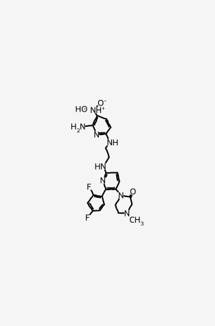 CN1CCN(c2ccc(NCCNc3ccc([NH+]([O-])O)c(N)n3)nc2-c2ccc(F)cc2F)C(=O)C1